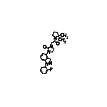 CC1(C)CCCN1C(=O)CN1CCN(c2cccc3c2cnn3-c2ccccc2F)C1=O